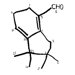 CC1(C)CC2=C(C=O)CCC=C2C1(C)C